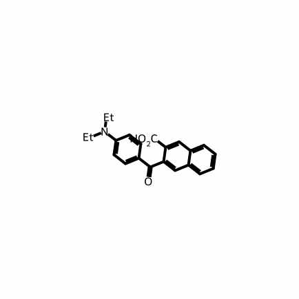 CCN(CC)c1ccc(C(=O)c2cc3ccccc3cc2C(=O)O)cc1